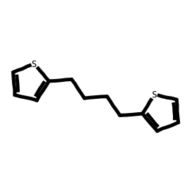 c1csc(CCCCc2cccs2)c1